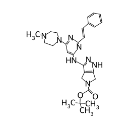 CN1CCN(c2cc(Nc3n[nH]c4c3CN(C(=O)OC(C)(C)C)C4)nc(/C=C/c3ccccc3)n2)CC1